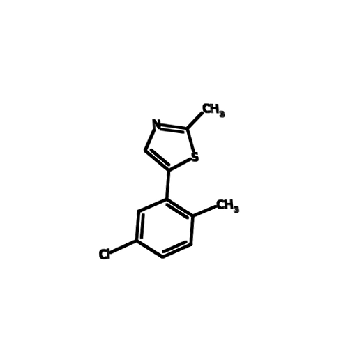 Cc1ncc(-c2cc(Cl)ccc2C)s1